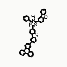 c1ccc(C2N=C(c3ccc4c(c3)sc3ccc(-c5ccc6c7ccccc7c7ccccc7c6c5)cc34)N=C(c3ccc4oc5ccccc5c4c3)N2)cc1